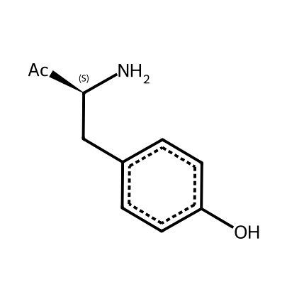 CC(=O)[C@@H](N)Cc1ccc(O)cc1